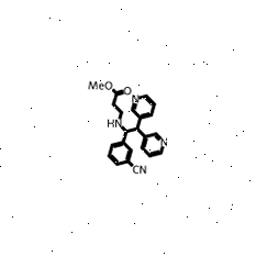 COC(=O)CCNC(c1cccc(C#N)c1)C(c1cccnc1)c1cccnc1